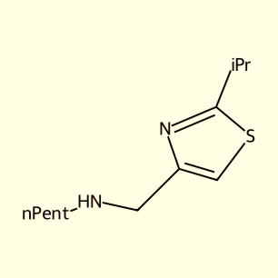 CCCCCNCc1csc(C(C)C)n1